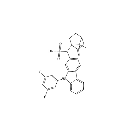 CC1(C)C2CCC1(C(c1ccc3c(c1)[SH](c1cc(F)cc(F)c1)c1ccccc1-3)S(=O)(=O)O)C(=O)C2